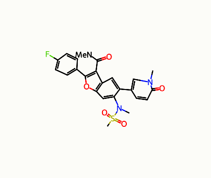 CNC(=O)c1c(-c2ccc(F)cc2)oc2cc(N(C)S(C)(=O)=O)c(-c3ccc(=O)n(C)c3)cc12